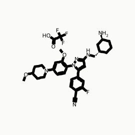 COc1cc(N2CCC(OC)CC2)ccc1-n1nc(NC[C@H]2CCC[C@H](N)C2)cc1-c1ccc(C#N)c(F)c1.O=C(O)C(F)(F)F